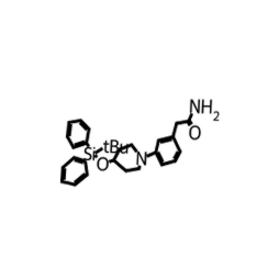 CC(C)(C)[Si](OC1CCN(c2cccc(CC(N)=O)c2)CC1)(c1ccccc1)c1ccccc1